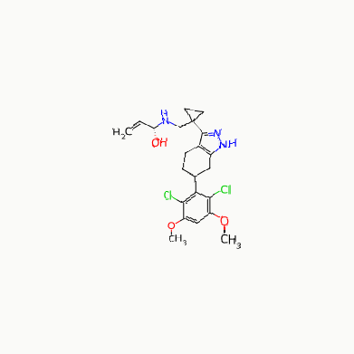 C=C[C@@H](O)NCC1(c2n[nH]c3c2CCC(c2c(Cl)c(OC)cc(OC)c2Cl)C3)CC1